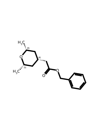 C[C@@H]1C[C@H](CC(=O)OCc2ccccc2)C[C@H](C)O1